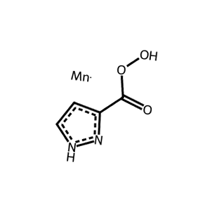 O=C(OO)c1cc[nH]n1.[Mn]